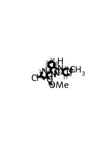 COCOc1cc(Cl)cnc1-c1nnc(NC2CCCN(C)C2)c2ccccc12